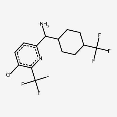 NC(c1ccc(Cl)c(C(F)(F)F)n1)C1CCC(C(F)(F)F)CC1